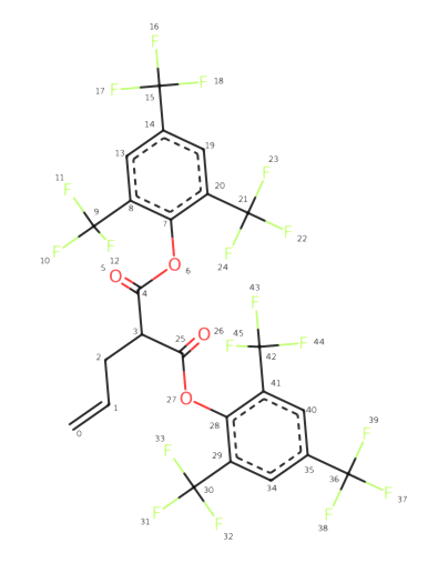 C=CCC(C(=O)Oc1c(C(F)(F)F)cc(C(F)(F)F)cc1C(F)(F)F)C(=O)Oc1c(C(F)(F)F)cc(C(F)(F)F)cc1C(F)(F)F